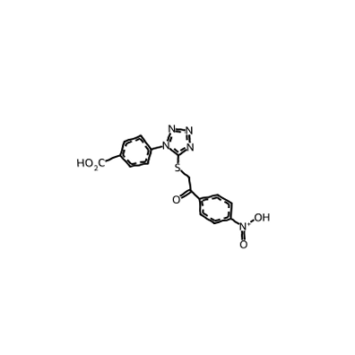 O=C(O)c1ccc(-n2nnnc2SCC(=O)c2ccc([N+](=O)O)cc2)cc1